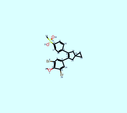 COc1c(Br)cc(C2=C(c3ccc(S(C)(=O)=O)cc3)CC3(CC3)C2)cc1Br